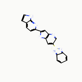 c1ccc2c(c1)=N[SH](c1cnc3cc(-c4ccc5cc[nH]c5n4)[nH]c3c1)N=2